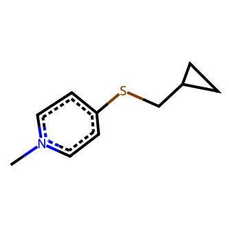 C[n+]1ccc(SCC2CC2)cc1